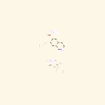 COc1cc2c(OC[C@H]3NC(=O)[C@@]4(F)[C@H]3[C@H]4C)nccc2cc1C(N)=O